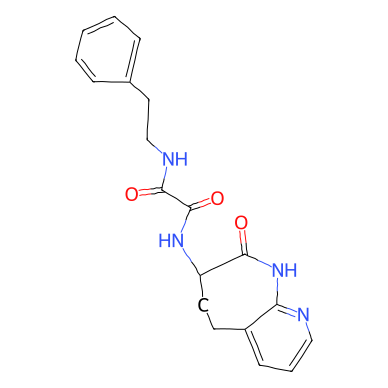 O=C(NCCc1ccccc1)C(=O)NC1CCc2cccnc2NC1=O